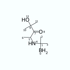 BC(C)(C)NC(C)C(=O)C(C)(C)O